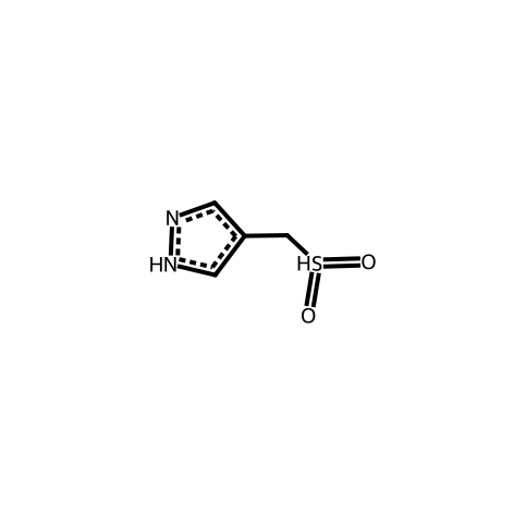 O=[SH](=O)Cc1cn[nH]c1